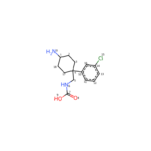 NC1CCC(CNC(=O)O)(c2cccc(Cl)c2)CC1